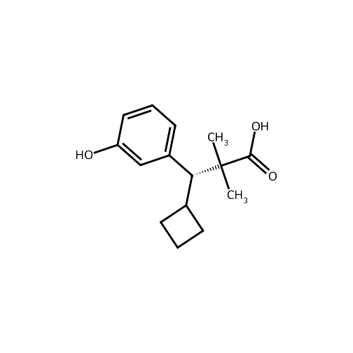 CC(C)(C(=O)O)[C@@H](c1cccc(O)c1)C1CCC1